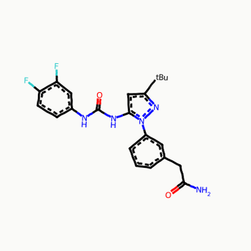 CC(C)(C)c1cc(NC(=O)Nc2ccc(F)c(F)c2)n(-c2cccc(CC(N)=O)c2)n1